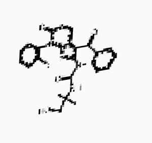 CC(C)(CO)NC(=O)Nc1sc2c(ccc(=O)n2-c2ccccc2Cl)c1C(=O)c1ccccc1